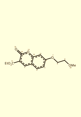 CCOC(=O)c1cc2ccc(OCCOC)cc2oc1=O